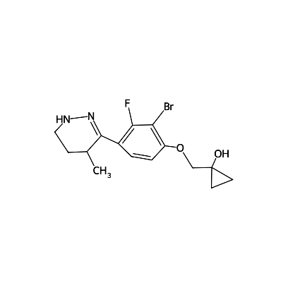 CC1CCNN=C1c1ccc(OCC2(O)CC2)c(Br)c1F